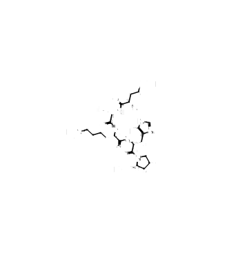 CC[C@H](C)[C@H](NC(=O)[C@@H](N)CCC(=O)O)C(=O)N[C@@H](CCCCN)C(=O)N[C@@H](Cc1c[nH]cn1)C(=O)N1CCC[C@H]1C(=O)O